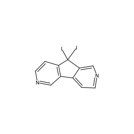 IC1(I)c2ccncc2-c2ccncc21